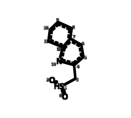 O=[SH](=O)Cc1ccc2ccccc2n1